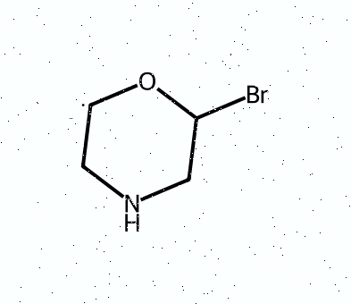 BrC1CNC[CH]O1